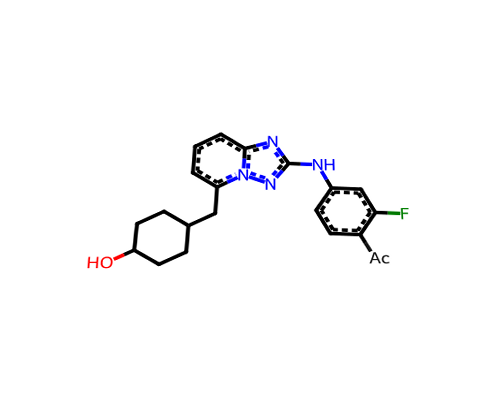 CC(=O)c1ccc(Nc2nc3cccc(CC4CCC(O)CC4)n3n2)cc1F